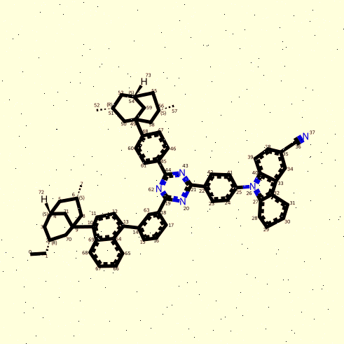 CC[C@@H]1C[C@@H]2C[C@H](C)CC(c3ccc(-c4cccc(-c5nc(-c6ccc(-n7c8ccccc8c8cc(C#N)ccc87)cc6)nc(-c6ccc(C78C[C@H](C)C[C@H](C[C@H](C)C7)C8)cc6)n5)c4)c4ccccc34)(C1)C2